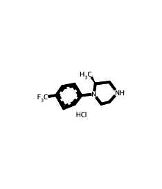 C[C@H]1CNCCN1c1ccc(C(F)(F)F)cc1.Cl